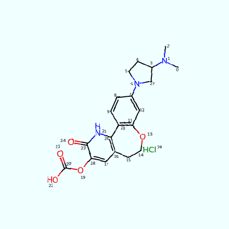 CN(C)C1CCN(c2ccc3c(c2)OCCc2cc(OC(=O)O)c(=O)[nH]c2-3)C1.Cl